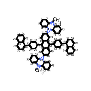 CN1c2ccccc2N(c2ccc3c(C4C=CC(c5cccc6ccccc56)=CC4)c4cc(N5c6ccccc6N(C)c6ccccc65)ccc4c(-c4ccc(-c5cccc6ccccc56)cc4)c3c2)c2ccccc21